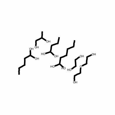 CC(O)CO.CCCC(O)O.CCCCC(O)O.CCCCCC(O)O.OCCO.OCCOCCO